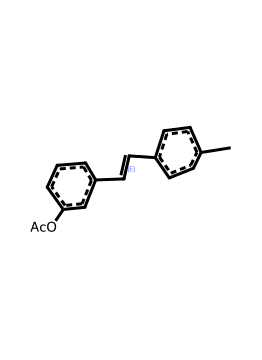 CC(=O)Oc1cccc(/C=C/c2ccc(C)cc2)c1